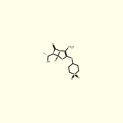 C[C@@H](O)[C@H]1C(=O)N2C(C(=O)O)=C(SC3CCS(=O)(=O)CC3)S[C@H]12